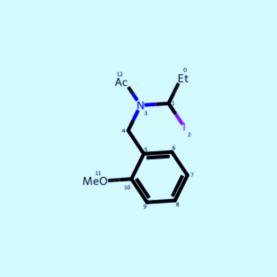 CCC(I)N(Cc1ccccc1OC)C(C)=O